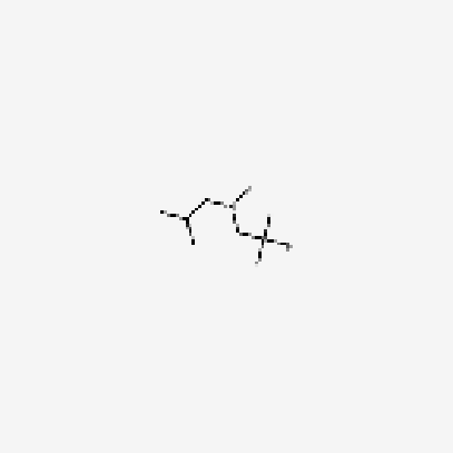 CC(C)CN(C)CC(C)(C)F